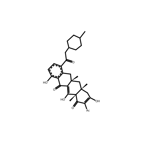 CC(=O)C1=C(O)C[C@@]2(C)C[C@@]3(C)Cc4c(C(=O)CC5CCC(C)CC5)ccc(O)c4C(=O)C3=C(O)[C@@]2(C)C1=O